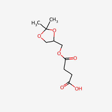 CC1(C)OCC(COC(=O)CCC(=O)O)O1